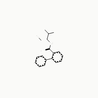 CC(C)[C@@H](CN)NC(=O)c1ccccc1-c1ccccc1